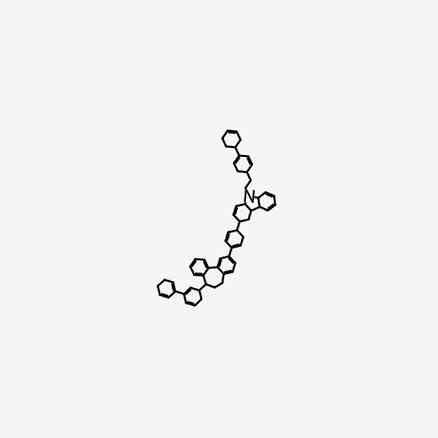 C1=CC2C3CC(C4C=CC(c5ccc6c(c5)-c5ccccc5C(C5C=C(C7=CCCC=C7)C=CC5)CC6)=CC4)C=CC3N(CCC3C=CC(C4CC=CCC4)=CC3)C2C=C1